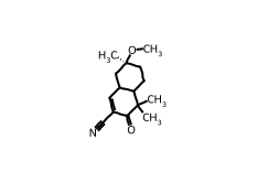 CO[C@@]1(C)CCC2C(C=C(C#N)C(=O)C2(C)C)C1